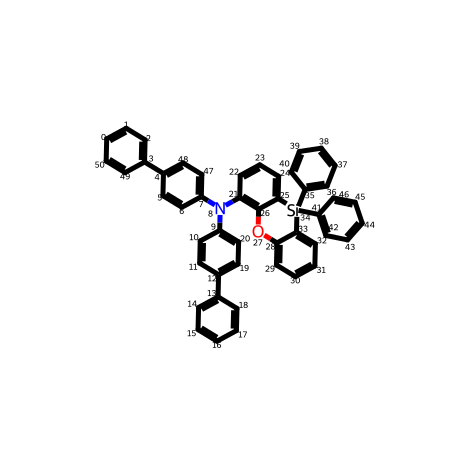 c1ccc(-c2ccc(N(c3ccc(-c4ccccc4)cc3)c3cccc4c3Oc3ccccc3[Si]4(c3ccccc3)c3ccccc3)cc2)cc1